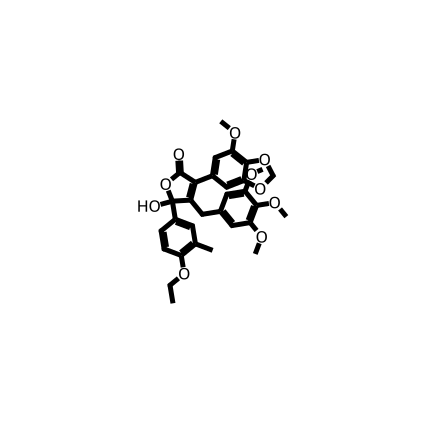 CCOc1ccc(C2(O)OC(=O)C(c3cc(OC)c4c(c3)OCO4)=C2Cc2cc(OC)c(OC)c(OC)c2)cc1C